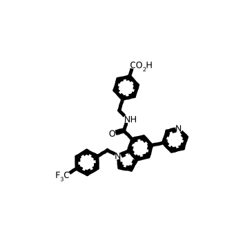 O=C(O)c1ccc(CNC(=O)c2cc(-c3cccnc3)cc3ccn(Cc4ccc(C(F)(F)F)cc4)c23)cc1